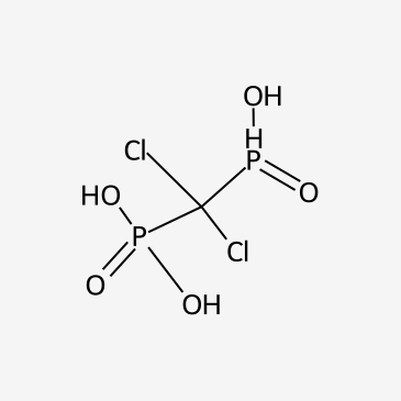 O=[PH](O)C(Cl)(Cl)P(=O)(O)O